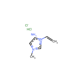 C=Cn1cc[n+](C)c1.Cl.N.[Cl-]